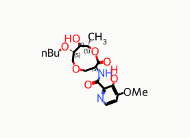 CCCCO[C@H]1COC[C@H](NC(=O)c2nccc(OC)c2O)C(=O)O[C@@H](C)[C@@H]1O